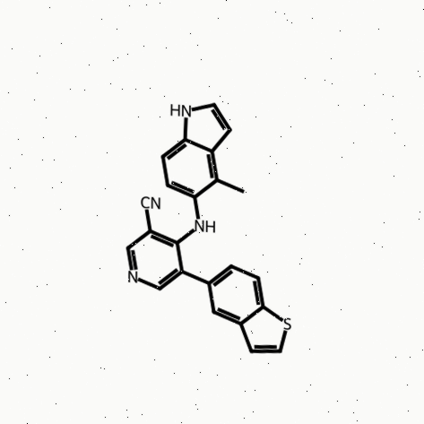 Cc1c(Nc2c(C#N)cncc2-c2ccc3sccc3c2)ccc2[nH]ccc12